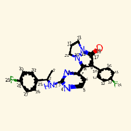 CC(Nc1nccc(-c2c(-c3ccc(F)cc3)c(=O)n3n2CCC3)n1)c1ccc(F)cc1